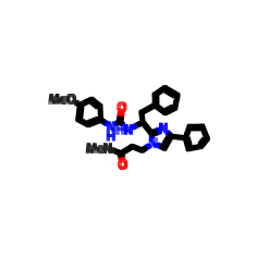 CNC(=O)CCn1cc(-c2ccccc2)nc1C(Cc1ccccc1)NC(=O)Nc1ccc(OC)cc1